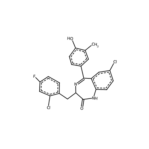 Cc1cc(C2=NC(Cc3ccc(F)cc3Cl)C(=O)Nc3ccc(Cl)cc32)ccc1O